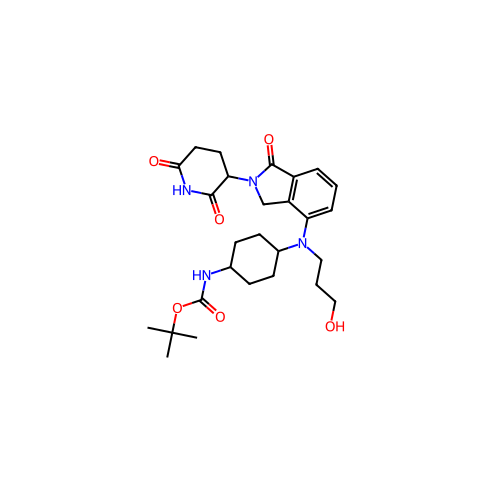 CC(C)(C)OC(=O)NC1CCC(N(CCCO)c2cccc3c2CN(C2CCC(=O)NC2=O)C3=O)CC1